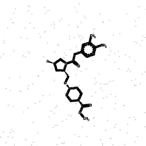 COC(=O)[C@H]1CC[C@H](OC[C@@H]2C[C@H](F)CN2C(=O)Cc2ccc(N)c(C)c2)CC1